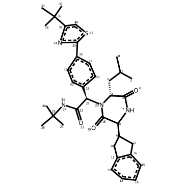 CC(C)C[C@@H]1C(=O)NC(C2Cc3ccccc3C2)C(=O)N1[C@@H](C(=O)NC(C)(C)C)c1ccc(-c2nc(C(C)(C)C)cs2)cc1